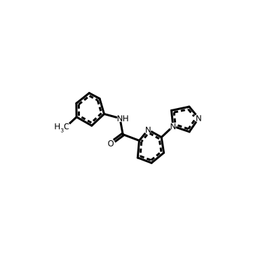 Cc1cccc(NC(=O)c2cccc(-n3ccnc3)n2)c1